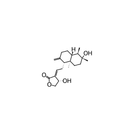 C=C1CC[C@@H]2[C@@H](C)[C@](C)(O)CC[C@@]2(C)[C@@H]1C/C=C1/C(=O)OC[C@H]1O